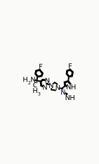 C[C@](N)(c1ccc(F)cc1)c1cnc(N2CCN(/C(=N/C=N)c3cc(-c4ccc(F)cc4)c[nH]3)CC2)nc1